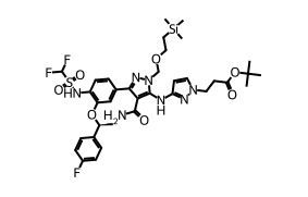 C[C@H](Oc1cc(-c2nn(COCC[Si](C)(C)C)c(Nc3ccn(CCC(=O)OC(C)(C)C)n3)c2C(N)=O)ccc1NS(=O)(=O)C(F)F)c1ccc(F)cc1